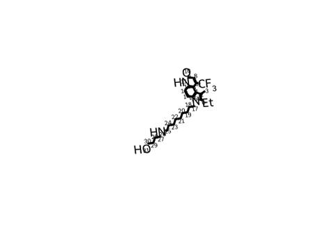 CCc1c(C)c2c3c(C(F)(F)F)cc(=O)[nH]c3ccc2n1CCCCCCCCCNCCCCO